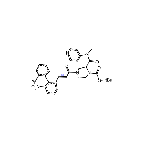 CC(C)c1ccccc1-c1c([N+](=O)[O-])[c]ccc1/C=C/C(=O)N1CCN(C(=O)OC(C)(C)C)C(C(=O)N(C)c2ccncc2)C1